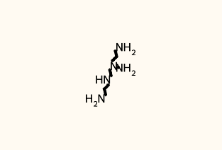 NCCCNCCN(N)CCCN